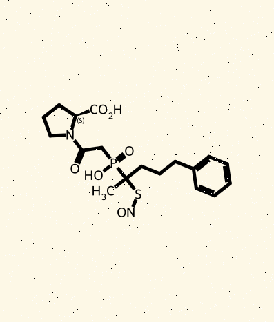 CC(CCCc1ccccc1)(SN=O)P(=O)(O)CC(=O)N1CCC[C@H]1C(=O)O